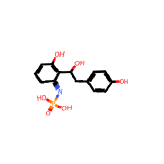 O=P(O)(O)N=C1CC=CC(O)=C1C(O)Cc1ccc(O)cc1